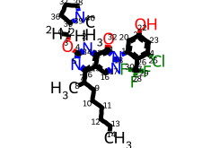 [2H]C([2H])(Oc1nc(C(C)CCCCCC)c2cnn(-c3cc(O)cc(Cl)c3C(F)(F)F)c(=O)c2n1)[C@@H]1CCCN1C